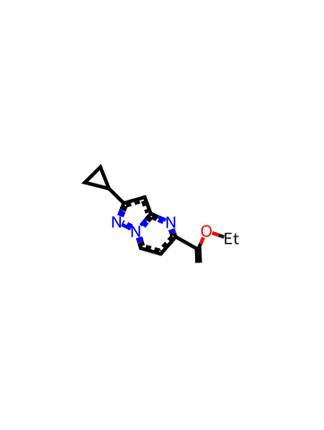 C=C(OCC)c1ccn2nc(C3CC3)cc2n1